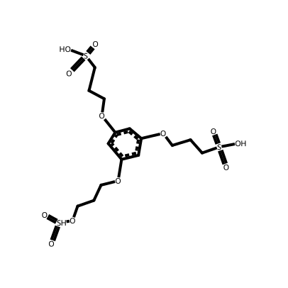 O=[SH](=O)OCCCOc1cc(OCCCS(=O)(=O)O)cc(OCCCS(=O)(=O)O)c1